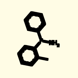 Cc1ccccc1P(N)c1ccccc1